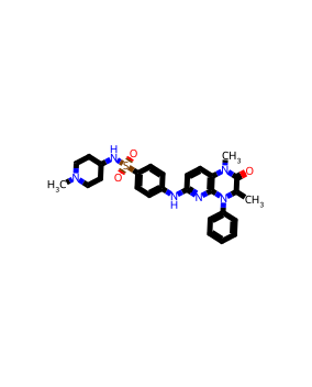 CC1C(=O)N(C)c2ccc(Nc3ccc(S(=O)(=O)NC4CCN(C)CC4)cc3)nc2N1c1ccccc1